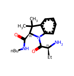 CCCCNC(=O)[C@@H]1N(C(=O)[C@@H](N)CC)c2ccccc2C1(C)C